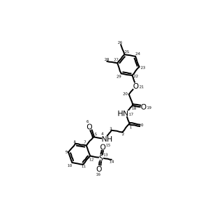 C=C(CCNC(=O)c1ccccc1S(C)(=O)=O)NC(=O)COc1ccc(C)c(C)c1